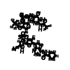 CC(C)C(=O)Nc1nc2c(ncn2[C@@H]2O[C@H](COP(=S)(OCCC#N)O[C@H]3[C@@H](F)[C@H](n4cnc5c(NC(=O)c6ccccc6)ncnc54)O[C@@H]3CO)[C@@H](O[Si](C)(C)C(C)(C)C)[C@H]2O[PH](=O)O)c(=O)[nH]1